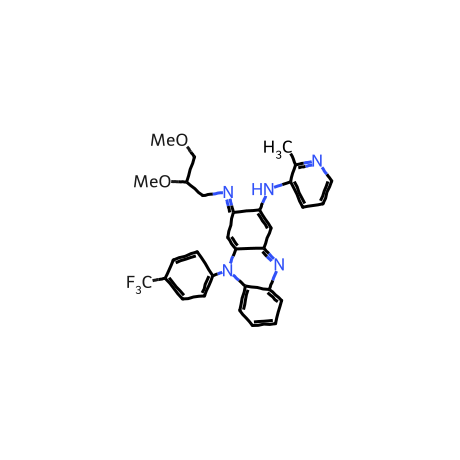 COCC(C/N=c1\cc2n(-c3ccc(C(F)(F)F)cc3)c3ccccc3nc-2cc1Nc1cccnc1C)OC